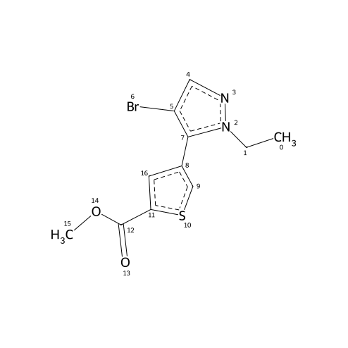 CCn1ncc(Br)c1-c1csc(C(=O)OC)c1